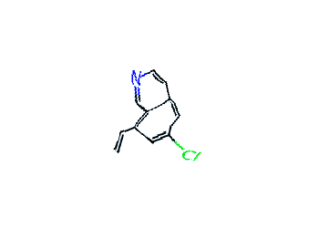 C=Cc1cc(Cl)cc2ccncc12